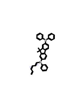 C=C/C=C\C=C\N(c1ccccc1)c1ccc2c(c1)C(C)(C)c1cc(N(c3ccccc3)c3ccccc3)ccc1-2